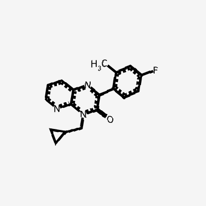 Cc1cc(F)ccc1-c1nc2cccnc2n(CC2CC2)c1=O